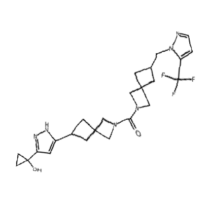 O=C(N1CC2(CC(Cn3nccc3C(F)(F)F)C2)C1)N1CC2(CC(c3cc(C4(O)CC4)n[nH]3)C2)C1